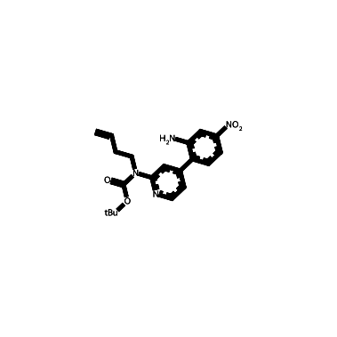 C=CCCN(C(=O)OC(C)(C)C)c1cc(-c2ccc([N+](=O)[O-])cc2N)ccn1